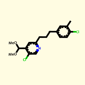 COC(OC)c1cc(CC[CH]c2ccc(Cl)c(C)c2)ncc1Cl